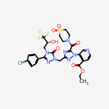 CCOC(=O)c1ccncc1-n1nc(Cn2nc(-c3ccc(Cl)cc3)n(C[C@H](O)C(F)(F)F)c2=O)nc1C(=O)N1CCS(=O)(=O)CC1